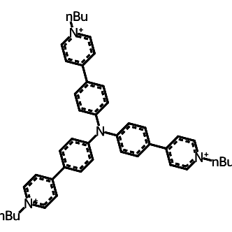 CCCC[n+]1ccc(-c2ccc(N(c3ccc(-c4cc[n+](CCCC)cc4)cc3)c3ccc(-c4cc[n+](CCCC)cc4)cc3)cc2)cc1